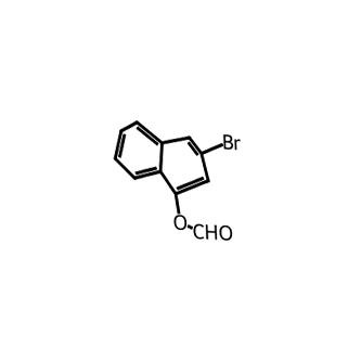 O=COc1cc(Br)cc2ccccc12